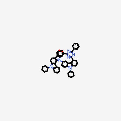 c1ccc(-c2nc(-c3ccccc3)nc(-c3cccc4c3c3cc(-n5c6ccccc6c6ccc7c(c8ccccc8n7-c7ccccc7)c65)ccc3n4-c3ccccc3)n2)cc1